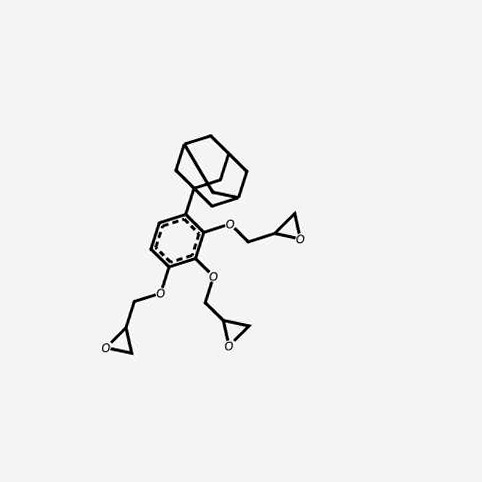 c1cc(C23CC4CC(CC(C4)C2)C3)c(OCC2CO2)c(OCC2CO2)c1OCC1CO1